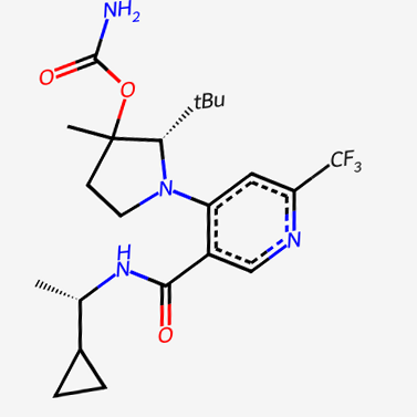 C[C@H](NC(=O)c1cnc(C(F)(F)F)cc1N1CCC(C)(OC(N)=O)[C@@H]1C(C)(C)C)C1CC1